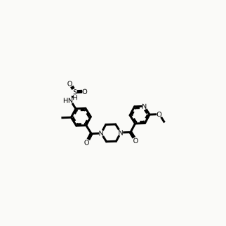 COc1cc(C(=O)N2CCN(C(=O)c3ccc(N[SH](=O)=O)c(C)c3)CC2)ccn1